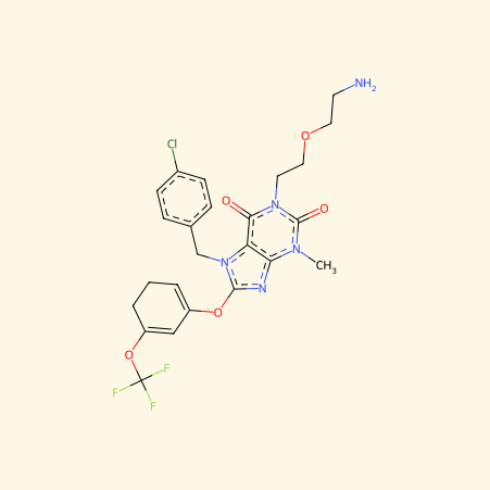 Cn1c(=O)n(CCOCCN)c(=O)c2c1nc(OC1=CCCC(OC(F)(F)F)=C1)n2Cc1ccc(Cl)cc1